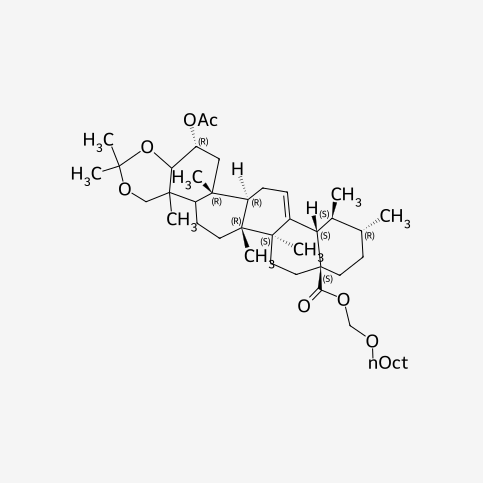 CCCCCCCCOCOC(=O)[C@]12CC[C@@H](C)[C@H](C)[C@H]1C1=CC[C@@H]3[C@@]4(C)C[C@@H](OC(C)=O)C5OC(C)(C)OCC5(C)C4CC[C@@]3(C)[C@]1(C)CC2